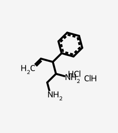 C=CC(c1ccccc1)C(N)CN.Cl.Cl